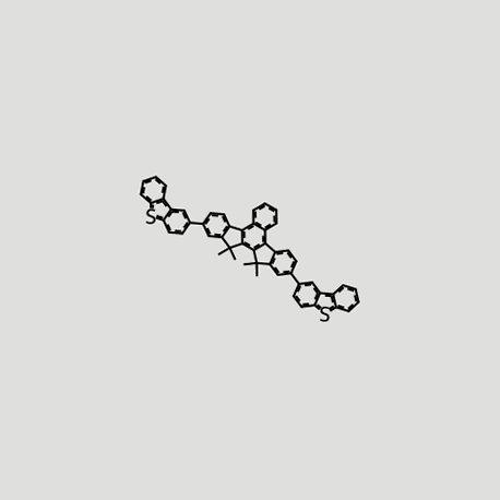 CC1(C)c2cc(-c3ccc4sc5ccccc5c4c3)ccc2-c2c1c1c(c3ccccc23)-c2ccc(-c3ccc4sc5ccccc5c4c3)cc2C1(C)C